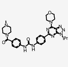 CC(C)n1nnc2c(N3CCOCC3)nc(-c3ccc(NC(=O)Nc4ccc(C(=O)N5CCN(C)CC5)cc4)cc3)nc21